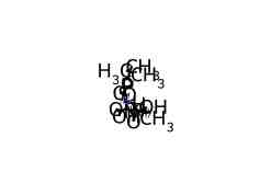 C[C@@H](O)[C@@H]1C(=O)N2C(C(=O)O)/C(=C/S(=O)(=O)c3ccc(C(C)(C)C)cc3)C[C@H]12